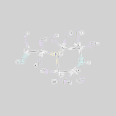 O=C(F)C(F)(F)N1C(F)(F)C(F)(F)OC(F)(F)C1(F)F